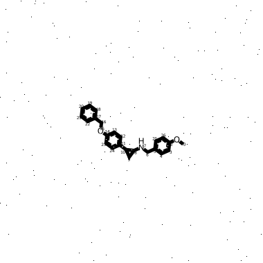 COc1ccc(CNC2CC2c2ccc(OCc3ccccc3)cc2)cc1